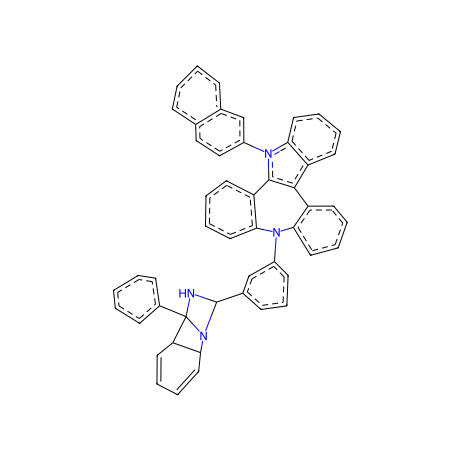 C1=CC2C(C=C1)C1(c3ccccc3)NC(c3cccc(N4c5ccccc5-c5c(n(-c6ccc7ccccc7c6)c6ccccc56)-c5ccccc54)c3)N21